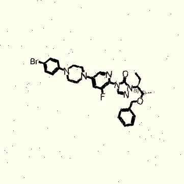 CC[C@@H]([C@H](C)OCc1ccccc1)n1ncn(-c2ncc(N3CCN(c4ccc(Br)cc4)CC3)cc2F)c1=O